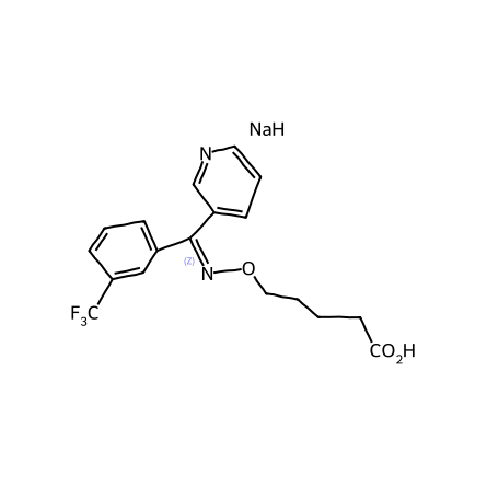 O=C(O)CCCCO/N=C(\c1cccnc1)c1cccc(C(F)(F)F)c1.[NaH]